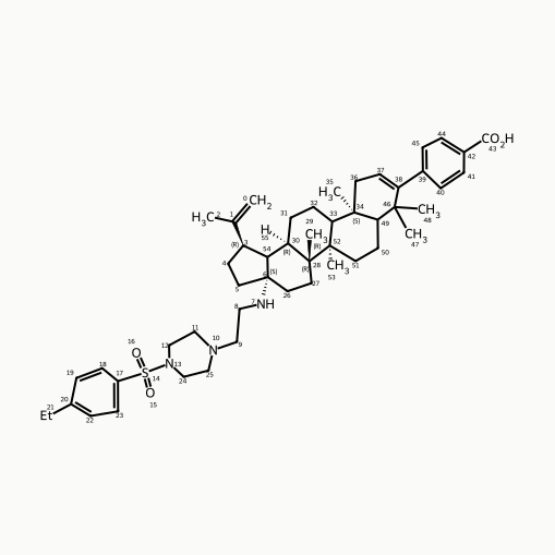 C=C(C)[C@@H]1CC[C@]2(NCCN3CCN(S(=O)(=O)c4ccc(CC)cc4)CC3)CC[C@]3(C)[C@H](CCC4[C@@]5(C)CC=C(c6ccc(C(=O)O)cc6)C(C)(C)C5CC[C@]43C)C12